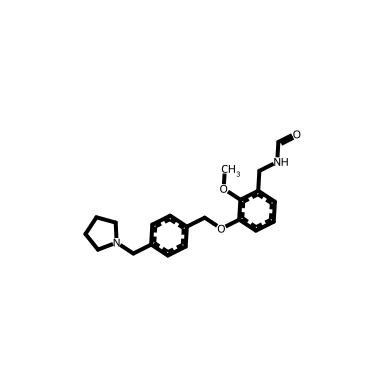 COc1c(CNC=O)cccc1OCc1ccc(CN2CCCC2)cc1